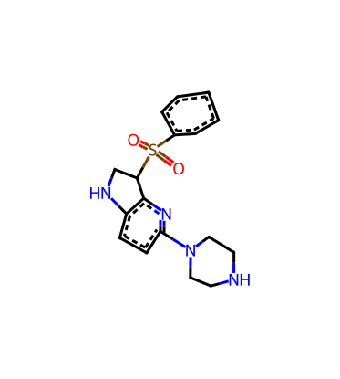 O=S(=O)(c1ccccc1)C1CNc2ccc(N3CCNCC3)nc21